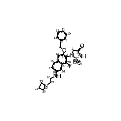 O=C1CN(c2c(OCc3ccccc3)cc3ccc(NCCN4CCC4)cc3c2F)S(=O)(=O)N1